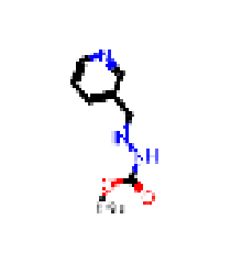 CC(C)(C)OC(=O)NNCc1cccnc1